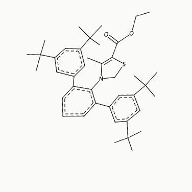 CCOC(=O)C1=C(C)N(c2c(-c3cc(C(C)(C)C)cc(C(C)(C)C)c3)cccc2-c2cc(C(C)(C)C)cc(C(C)(C)C)c2)CS1